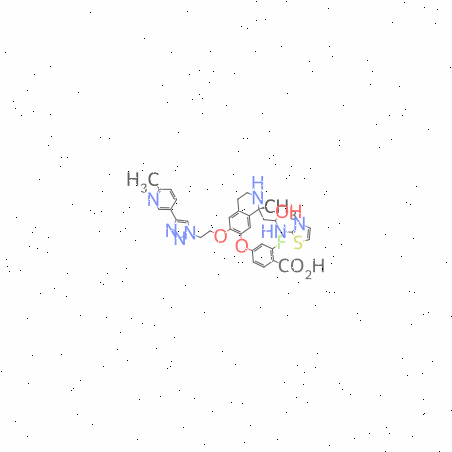 Cc1ccc(-c2cn(CCOc3cc4c(cc3Oc3ccc(C(=O)O)c(F)c3)[C@@](C)(CC(O)Nc3nccs3)NCC4)nn2)cn1